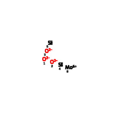 [Mo+6].[O-2].[O-2].[O-2].[Si].[Si]